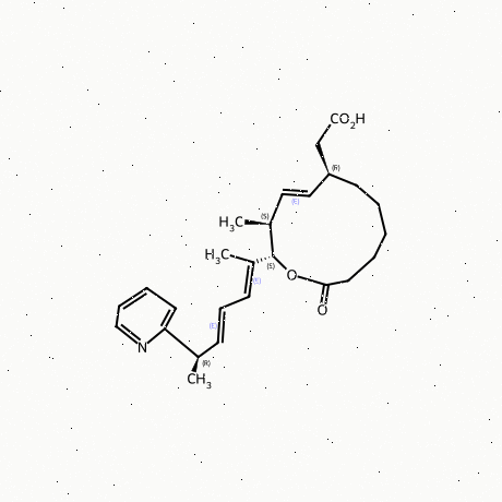 C/C(=C\C=C\[C@@H](C)c1ccccn1)[C@H]1OC(=O)CCCCC[C@H](CC(=O)O)/C=C/[C@@H]1C